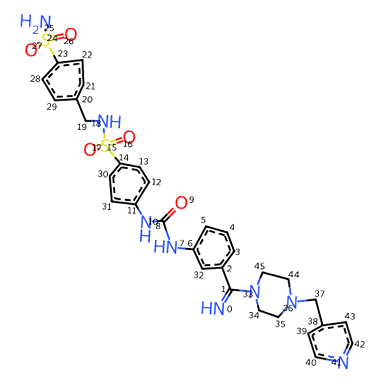 N=C(c1cccc(NC(=O)Nc2ccc(S(=O)(=O)NCc3ccc(S(N)(=O)=O)cc3)cc2)c1)N1CCN(Cc2ccncc2)CC1